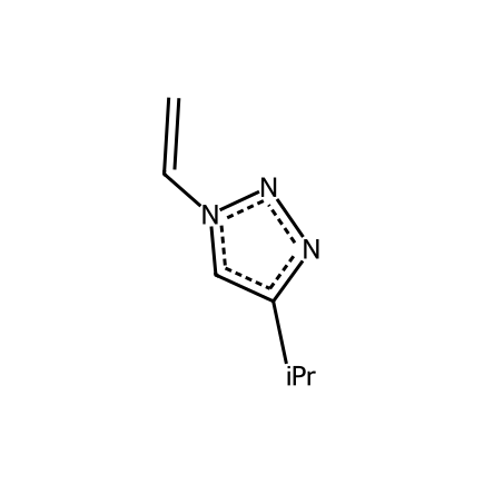 C=Cn1cc(C(C)C)nn1